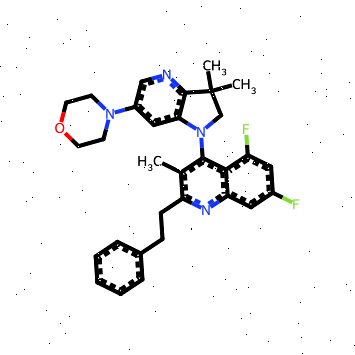 Cc1c(CCc2ccccc2)nc2cc(F)cc(F)c2c1N1CC(C)(C)c2ncc(N3CCOCC3)cc21